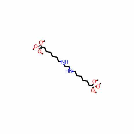 CO[Si](CCCCCCNCCNCCCCCC[Si](OC)(OC)OC)(OC)OC